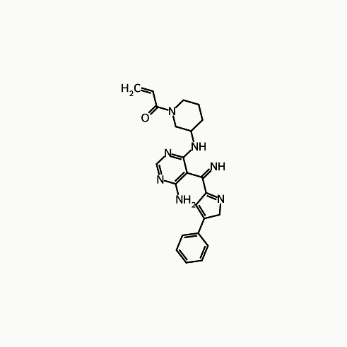 C=CC(=O)N1CCCC(Nc2ncnc(N)c2C(=N)C2=NCC(c3ccccc3)=C2)C1